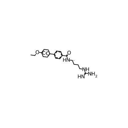 CCOC12CCC(c3ccc(C(=O)N[CH]CCCNC(=N)N)cc3)(CC1)CC2